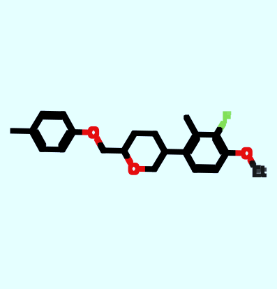 CCOc1ccc(C2CCC(COc3ccc(C)cc3)OC2)c(C)c1F